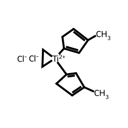 CC1=CC[C]([Ti+2]2([C]3=CC(C)=CC3)[CH2][CH2]2)=C1.[Cl-].[Cl-]